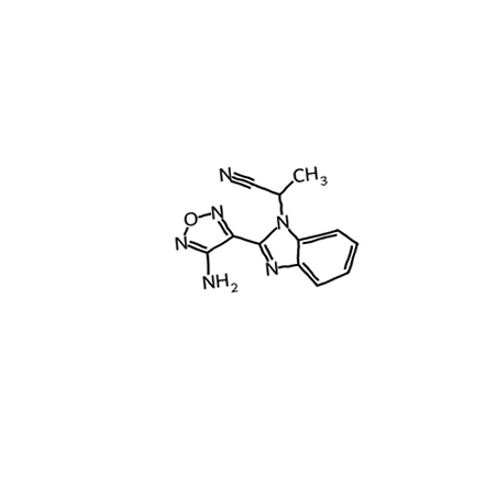 CC(C#N)n1c(-c2nonc2N)nc2ccccc21